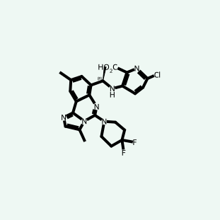 Cc1cc([C@@H](C)Nc2ccc(Cl)nc2C(=O)O)c2nc(N3CCC(F)(F)CC3)n3c(C)cnc3c2c1